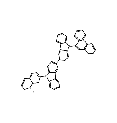 C[C@@H]1CC=CC2=CC=C(n3c4ccccc4c4cc(C5C=c6c(n(-c7cc8c(c9ccccc79)C=CCC8)c7ccccc67)=CC5)ccc43)CC21